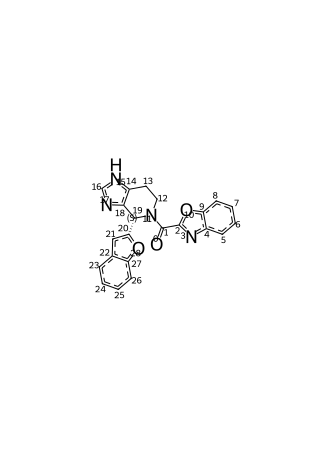 O=C(c1nc2ccccc2o1)N1CCc2[nH]cnc2[C@H]1c1cc2ccccc2o1